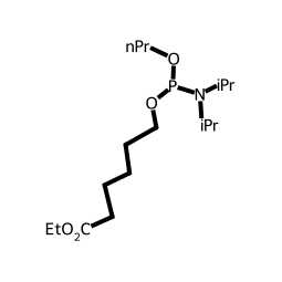 CCCOP(OCCCCCC(=O)OCC)N(C(C)C)C(C)C